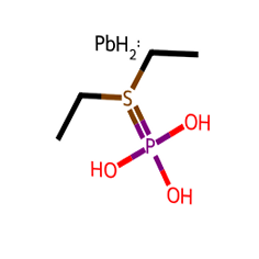 CCS(CC)=P(O)(O)O.[PbH2]